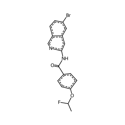 CC(F)Oc1ccc(C(=O)Nc2cc3cc(Br)ccc3cn2)cc1